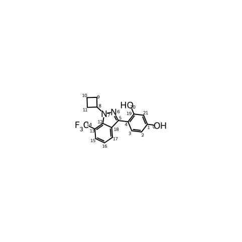 Oc1ccc(-c2nn(C3CCC3)c3c(C(F)(F)F)cccc23)c(O)c1